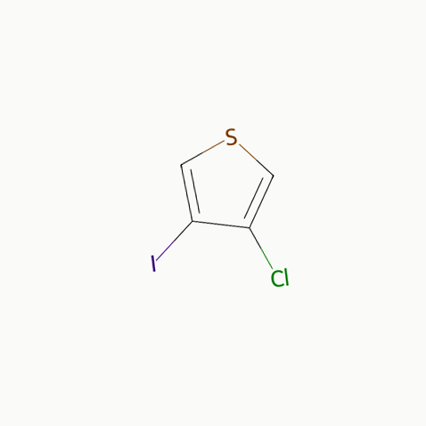 Clc1cscc1I